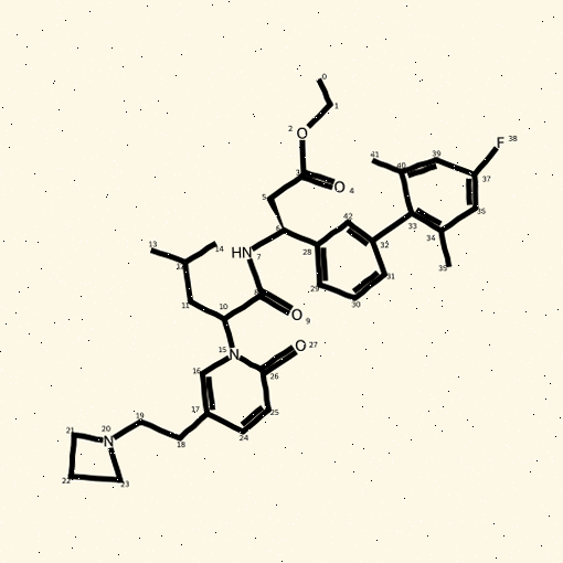 CCOC(=O)C[C@H](NC(=O)C(CC(C)C)n1cc(CCN2CCC2)ccc1=O)c1cccc(-c2c(C)cc(F)cc2C)c1